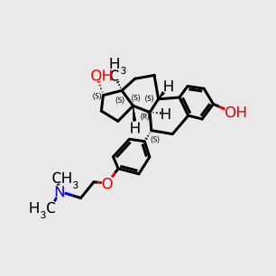 CN(C)CCOc1ccc([C@H]2Cc3cc(O)ccc3[C@H]3CC[C@]4(C)[C@@H](O)CC[C@H]4[C@H]23)cc1